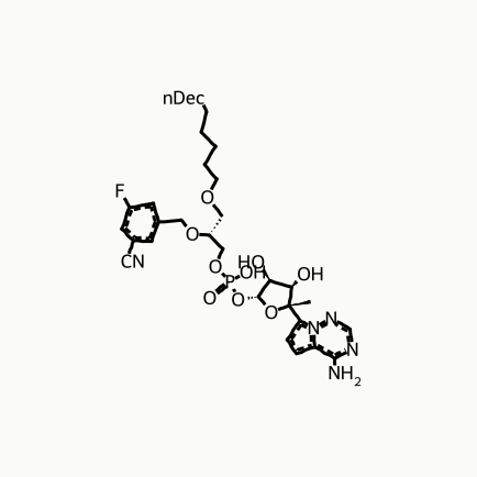 CCCCCCCCCCCCCCCOC[C@H](COP(=O)(O)O[C@H]1O[C@@](C)(c2ccc3c(N)ncnn23)[C@H](O)[C@@H]1O)OCc1cc(F)cc(C#N)c1